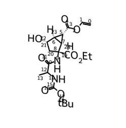 C=COC(=O)[C@H]1[C@H]2[C@@H]1[C@@](NC(=O)C(C)NC(=O)OC(C)(C)C)(C(=O)OCC)C[C@@H]2O